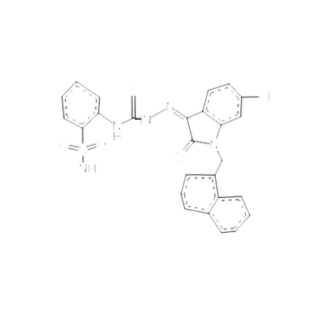 NS(=O)(=O)c1ccccc1NC(=S)NN=C1C(=O)N(Cc2cccc3ccccc23)c2cc(Cl)ccc21